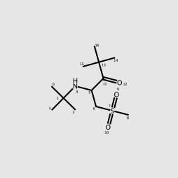 CC(C)(C)NC(CS(C)(=O)=O)C(=O)C(C)(C)C